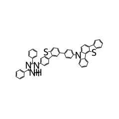 N=C(/N=C(\Nc1ccc2c(c1)sc1ccc(-c3ccc(-n4c5ccccc5c5c6sc7ccccc7c6ccc54)cc3)cc12)c1ccccc1)c1ccccc1